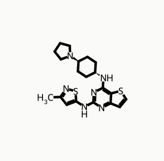 Cc1cc(Nc2nc(N[C@H]3CC[C@H](N4CCCC4)CC3)c3sccc3n2)sn1